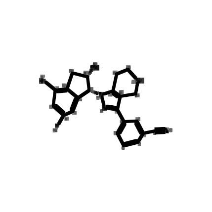 N#Cc1cccc(-c2nn([C@@H]3c4cc(F)cc(Br)c4C[C@@H]3O)c3c2CNCC3)c1